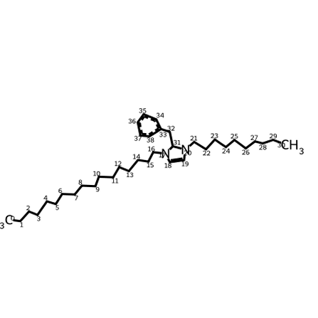 CCCCCCCCCCCCCCCCCN1C=CN(CCCCCCCCCC)C1Cc1ccccc1